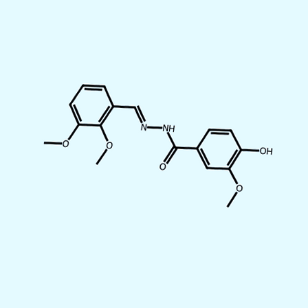 COc1cc(C(=O)N/N=C/c2cccc(OC)c2OC)ccc1O